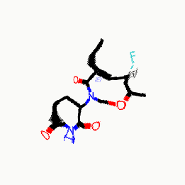 CC/C1=C\[C@H](F)C(C)OCN(C2CCC(=O)NC2=O)C1=O